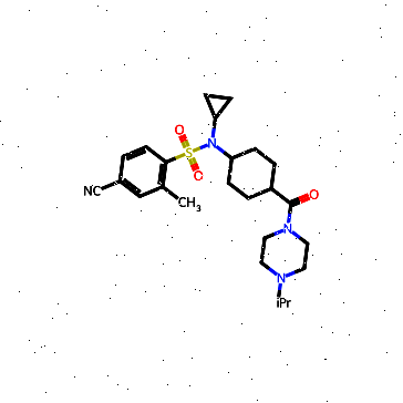 Cc1cc(C#N)ccc1S(=O)(=O)N(C1CCC(C(=O)N2CCN(C(C)C)CC2)CC1)C1CC1